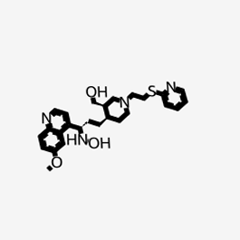 COc1ccc2nccc([C@H](CC[C@@H]3CCN(CCSc4ccccn4)C[C@@H]3CO)NO)c2c1